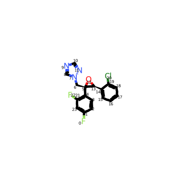 Fc1ccc([C@]2(Cn3cncn3)O[C@H]2c2ccccc2Cl)c(F)c1